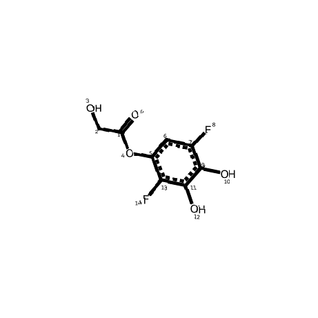 O=C(CO)Oc1cc(F)c(O)c(O)c1F